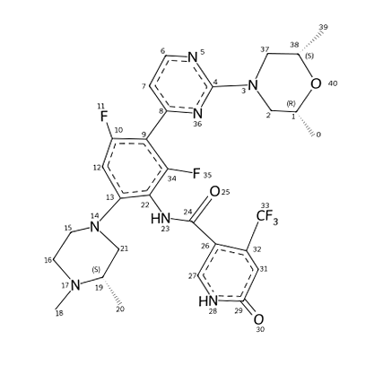 C[C@@H]1CN(c2nccc(-c3c(F)cc(N4CCN(C)[C@@H](C)C4)c(NC(=O)c4c[nH]c(=O)cc4C(F)(F)F)c3F)n2)C[C@H](C)O1